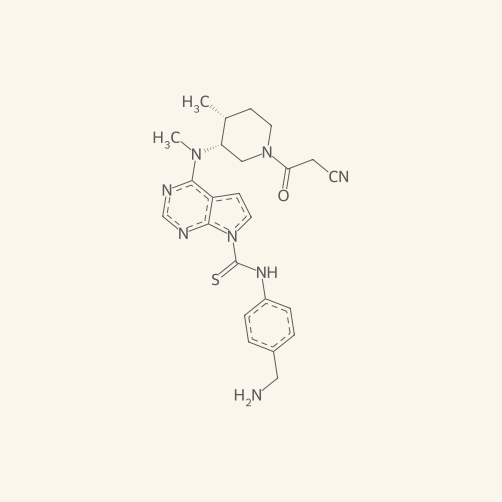 C[C@@H]1CCN(C(=O)CC#N)C[C@@H]1N(C)c1ncnc2c1ccn2C(=S)Nc1ccc(CN)cc1